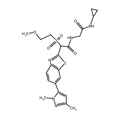 COCCS(=O)(=O)C(C(=O)NCC(=O)NC1CC1)c1nc2ccc(-c3cc(C)nn3C)cc2s1